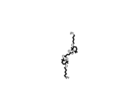 CC(C)CCCCCOC1CCC(C)(C)N(OC(=O)CCC(=O)ON2C(C)(C)CCC(OCCCCCC(C)C)C2(C)C)C1(C)C